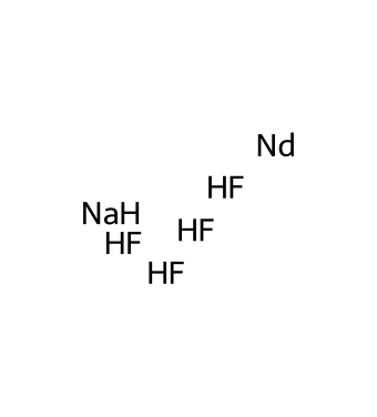 F.F.F.F.[NaH].[Nd]